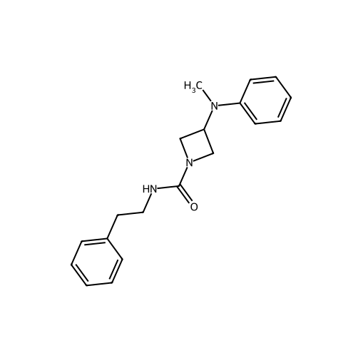 CN(c1ccccc1)C1CN(C(=O)NCCc2ccccc2)C1